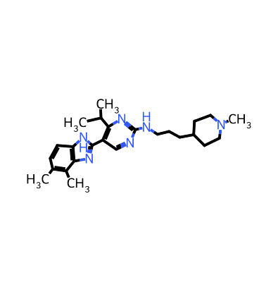 Cc1ccc2[nH]c(-c3cnc(NCCCC4CCN(C)CC4)nc3C(C)C)nc2c1C